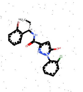 O=C(O)C[C@H](NC(=O)c1cc(O)n(-c2ccccc2Cl)n1)c1ccccc1Br